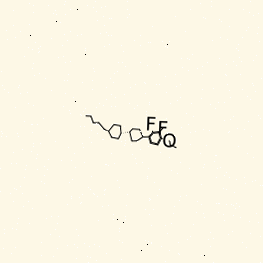 CCCCC[C@H]1CC[C@H](C2CCC(c3ccc(OCC)c(F)c3F)CC2)CC1